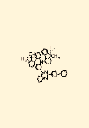 CC1(C)c2ccccc2-c2c(N(c3cccc(-c4nc(-c5ccc(-c6ccccc6)cc5)nc5ccccc45)c3)c3cccc4c3-c3ccccc3C4(C)C)cccc21